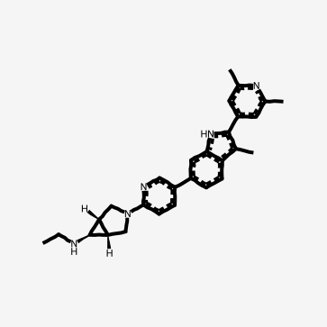 CCN[C@H]1[C@@H]2CN(c3ccc(-c4ccc5c(C)c(-c6cc(C)nc(C)c6)[nH]c5c4)cn3)C[C@@H]21